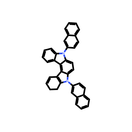 C1=Cc2c(n(-c3ccc4ccccc4c3)c3ccc4c(c5ccccc5n4-c4ccc5ccccc5c4)c23)CC1